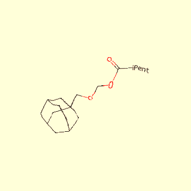 CCCC(C)C(=O)OCOCC12CC3CC(CC(C3)C1)C2